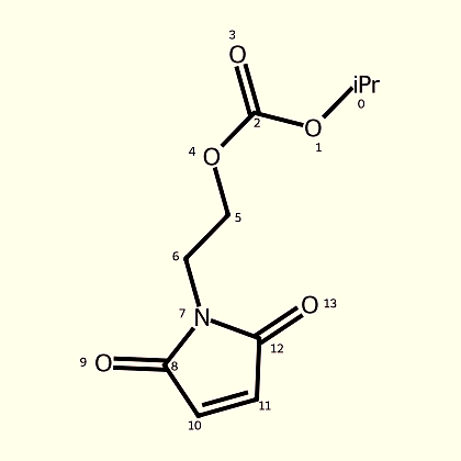 CC(C)OC(=O)OCCN1C(=O)C=CC1=O